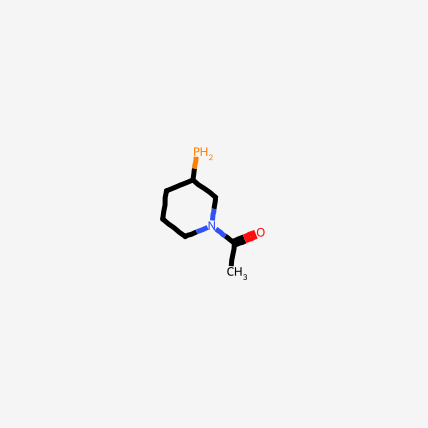 CC(=O)N1CCCC(P)C1